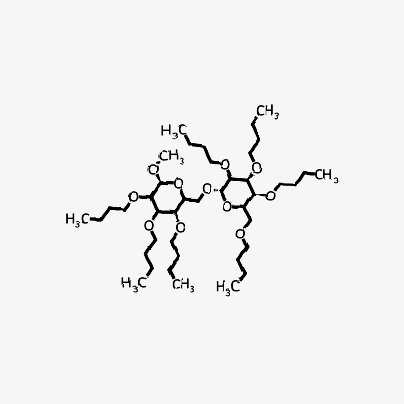 CCCCOCC1O[C@H](OCC2O[C@H](OC)C(OCCCC)C(OCCCC)[C@@H]2OCCCC)C(OCCCC)[C@@H](OCCCC)[C@H]1OCCCC